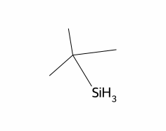 CC(C)(C)[SiH3]